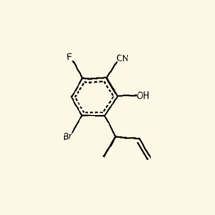 C=CC(C)c1c(Br)cc(F)c(C#N)c1O